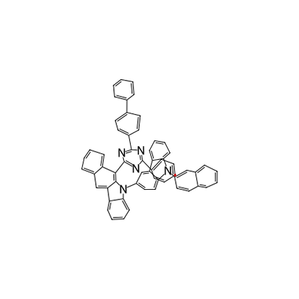 c1ccc(-c2ccc(-c3nc(-c4ccccc4)nc(-c4c5ccccc5cc5c6ccccc6n(-c6ccc7c(c6)c6ccccc6n7-c6ccc7ccccc7c6)c45)n3)cc2)cc1